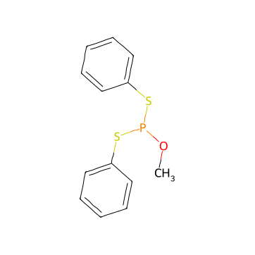 COP(Sc1ccccc1)Sc1ccccc1